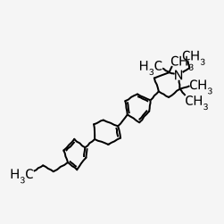 CCCc1ccc(C2CC=C(c3ccc(C4CC(C)(C)N(CC)C(C)(C)C4)cc3)CC2)cc1